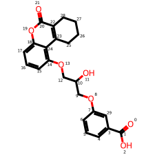 O=C(O)c1cccc(OCC(O)COc2cccc3oc(=O)c4c(c23)CCCC4)c1